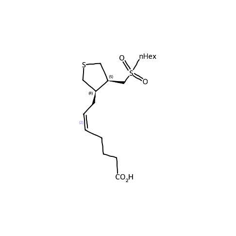 CCCCCCS(=O)(=O)C[C@@H]1CSC[C@@H]1C/C=C\CCCC(=O)O